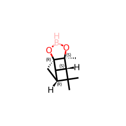 CC1(C)[C@@H]2C[C@]34OBO[C@@]3(C)[C@H]1C24